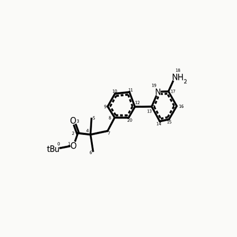 CC(C)(C)OC(=O)C(C)(C)Cc1cccc(-c2cccc(N)n2)c1